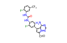 Nc1ncnn2c(C=O)cc(-c3ccc(NC(=O)Nc4cc(C(F)(F)F)ccc4F)c(F)c3)c12